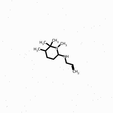 C=CCNC1CCC(C)C(C)(C)N1C